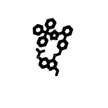 CCc1cc(OCc2ccc(-c3ccccc3-c3nnn(C(c4ccccc4)(c4ccccc4)c4ccccc4)n3)cc2)c2cc(OC(C)C)ccc2n1